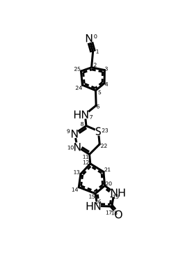 N#Cc1ccc(CNC2=NN=C(c3ccc4[nH]c(=O)[nH]c4c3)CS2)cc1